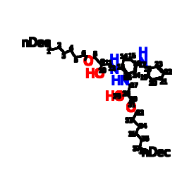 CCCCCCCCCCCCCCCCOCC(O)CNc1ccc(Nc2ccccc2)cc1NCC(O)COCCCCCCCCCCCCCCCC